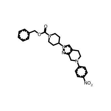 O=C(OCc1ccccc1)N1CCC(n2cc3c(n2)CN(c2ccc([N+](=O)[O-])cc2)CC3)CC1